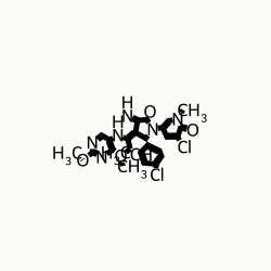 COc1ncc(N/C(=C2\C(=N)C(=O)N(c3cc(Cl)c(=O)n(C)c3)[C@@H]2c2ccc(Cl)cc2)C(C)C)c(OC)n1